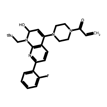 C=CC(=O)N1CCN(C2=CC(O)N(CC(C)(C)C)c3nc(-c4ccccc4F)ccc32)CC1